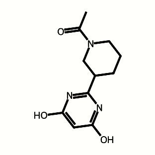 CC(=O)N1CCCC(c2nc(O)cc(O)n2)C1